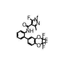 Cc1nn(C)c(F)c1C(=O)Nc1ccccc1-c1ccc2c(c1)OC(F)(F)C(F)(F)O2